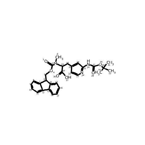 CN(C(=O)OCC1c2ccccc2-c2ccccc21)C(Cc1ccnc(NC(=O)OC(C)(C)C)c1)C(=O)O